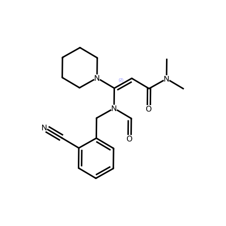 CN(C)C(=O)/C=C(\N(C=O)Cc1ccccc1C#N)N1CCCCC1